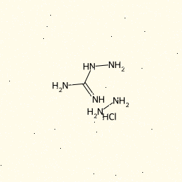 Cl.N=C(N)NN.NN